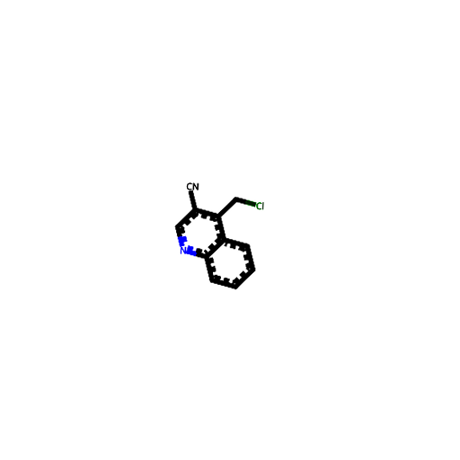 N#Cc1cnc2ccccc2c1CCl